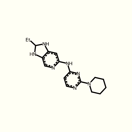 CCC1Nc2cnc(Nc3ccnc(N4CCCCC4)n3)cc2N1